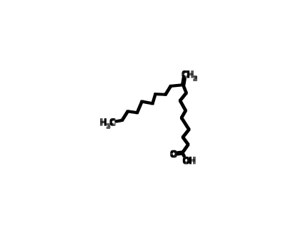 C=C(CCCCCCCCC)CCCCCCCC(=O)O